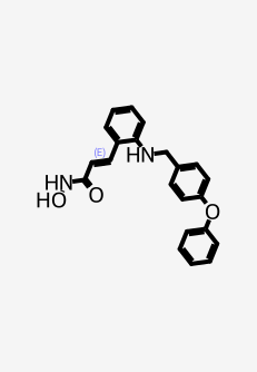 O=C(/C=C/c1ccccc1NCc1ccc(Oc2ccccc2)cc1)NO